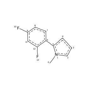 Cn1c[c]cc1-c1ccc(F)cc1F